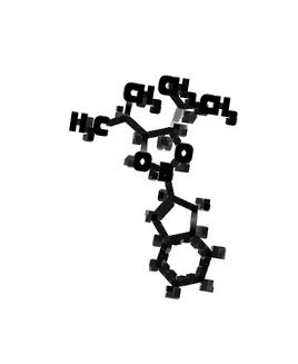 CC(C)C1OB(C2=Cc3ccccc3C2)O[C@H]1C(C)C